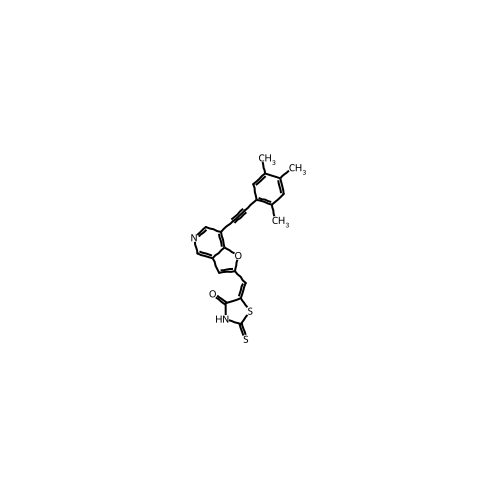 Cc1cc(C)c(C#Cc2cncc3cc(C=C4SC(=S)NC4=O)oc23)cc1C